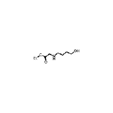 CCOC(=O)CNCCCCO